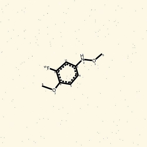 CONc1ccc(OC)c(F)c1